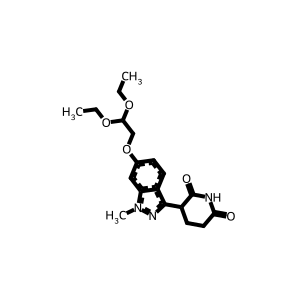 CCOC(COc1ccc2c(C3CCC(=O)NC3=O)nn(C)c2c1)OCC